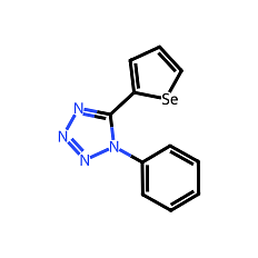 c1ccc(-n2nnnc2-c2ccc[se]2)cc1